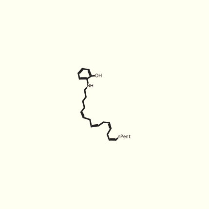 CCCCC/C=C\C/C=C\C/C=C\C/C=C\CCCCNc1ccccc1O